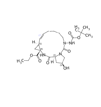 CCOC(=O)[C@@]12C[C@H]1/C=C\CCCCN(NC(=O)OC(C)(C)C)C(=O)N1C[C@@H](O)C[C@H]1C(=O)N2